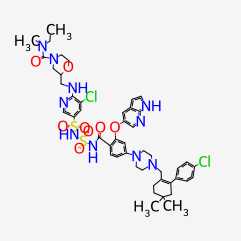 CCN(C)C(=O)N1CCOC(CNc2ncc(S(=O)(=O)NS(=O)(=O)NC(=O)c3ccc(N4CCN(CC5=C(c6ccc(Cl)cc6)CC(C)(C)CC5)CC4)cc3Oc3cnc4[nH]ccc4c3)cc2Cl)C1